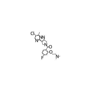 Cc1c(Cl)cnc2c3c(nn12)CN(C(=O)c1ccc(F)cc1OCCN(C)C)C3